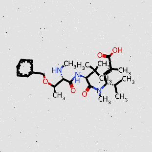 CN[C@H](C(=O)N[C@H](C(=O)N(C)[C@H](/C=C(\C)C(=O)O)C(C)C)C(C)(C)C)[C@@H](C)OCc1ccccc1